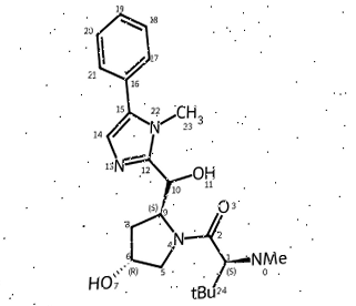 CN[C@H](C(=O)N1C[C@H](O)C[C@H]1C(O)c1ncc(-c2ccccc2)n1C)C(C)(C)C